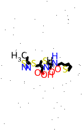 CCc1snnc1SCC1=C(C(=O)O)N2C(=O)[C@@H](NC(=O)Cc3cccs3)[C@H]2SC1